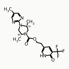 Cc1cnc(N2C[C@@H](C)N(C(=O)OCCc3c[nH]c(=O)c(C(F)(F)F)c3)C[C@@H]2C)nc1